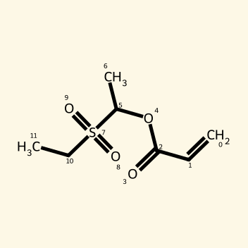 C=CC(=O)OC(C)S(=O)(=O)CC